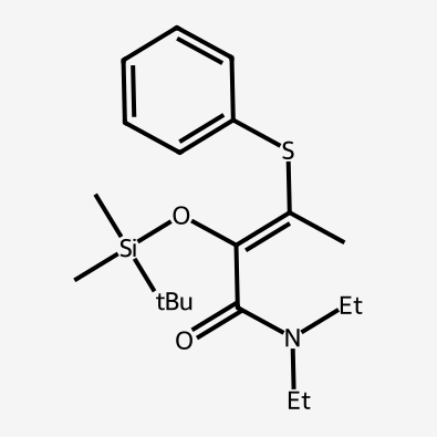 CCN(CC)C(=O)C(O[Si](C)(C)C(C)(C)C)=C(C)Sc1ccccc1